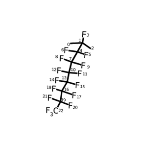 CC(C)(F)C(F)(F)C(F)(F)C(F)(F)C(F)(F)C(F)(F)C(F)(F)C(F)(F)F